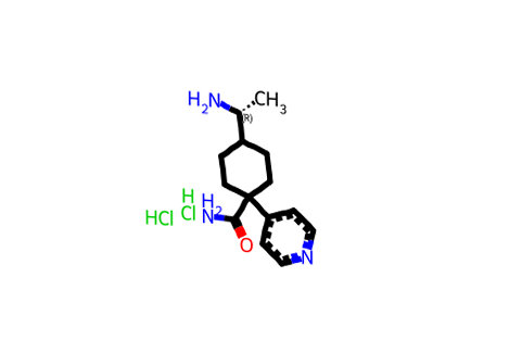 C[C@@H](N)C1CCC(C(N)=O)(c2ccncc2)CC1.Cl.Cl